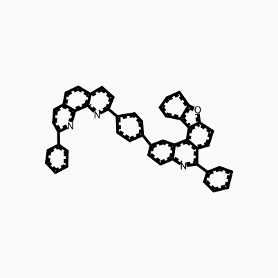 c1ccc(-c2ccc3ccc4ccc(-c5ccc(-c6ccc7nc(-c8ccccc8)c8ccc9oc%10ccccc%10c9c8c7c6)cc5)nc4c3n2)cc1